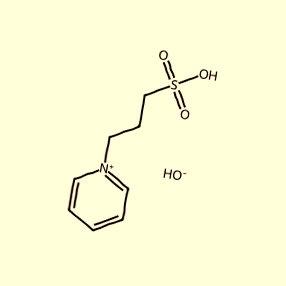 O=S(=O)(O)CCC[n+]1ccccc1.[OH-]